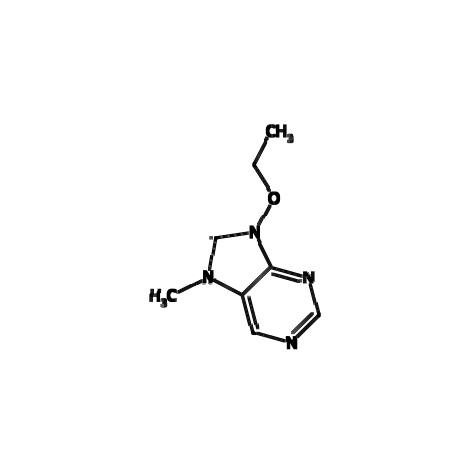 CCON1[CH]N(C)c2cncnc21